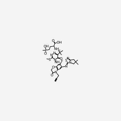 C#CCN1C(=O)COc2cc(F)c(/N=c3\snc4n3CC(C)(C)C4)cc21.CP(=O)(O)CCC(N)C(=O)O.CSc1nnc(C(C)(C)C)c(=O)n1N